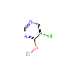 CCOc1ncncc1Cl